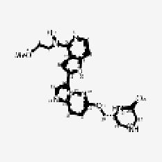 CCN(CCOC)c1nccc2oc(-c3cnc4ccc(OC[C@H]5CNCC(=O)N5)nn34)cc12